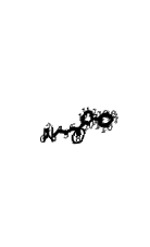 CN(C)CCCCC(=O)c1cccc(-c2ccccc2)c1